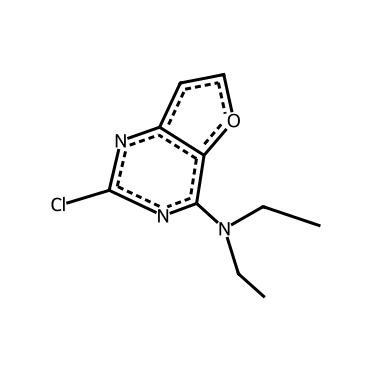 CCN(CC)c1nc(Cl)nc2ccoc12